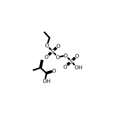 C=C(C)C(=O)O.CCOS(=O)(=O)OOS(=O)(=O)O